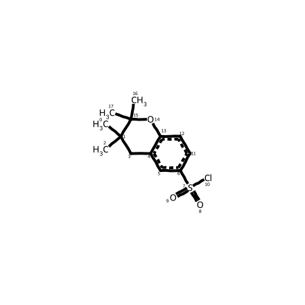 CC1(C)Cc2cc(S(=O)(=O)Cl)ccc2OC1(C)C